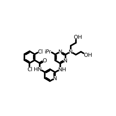 CC(C)c1cc(Nc2cc(NC(=O)c3c(Cl)cccc3Cl)ccn2)nc(N(CCO)CCO)n1